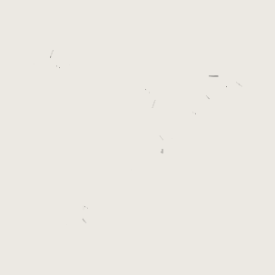 CC(=O)NCCOCCOCCNC(=O)OCCN(CCOC(=O)NCCOCCOCCNC(C)=O)CC(=O)ON1C(=O)CCC1=O